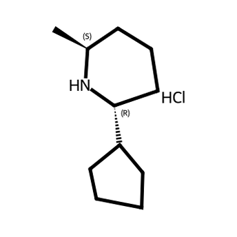 C[C@H]1CCC[C@H](C2CCCC2)N1.Cl